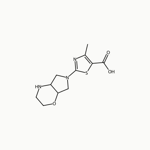 Cc1nc(N2CC3NCCOC3C2)sc1C(=O)O